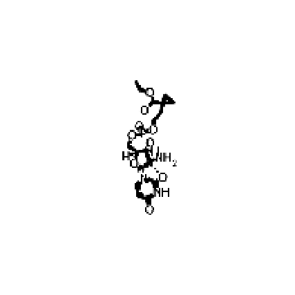 CCOC(=O)C1(CCO[P@]2(=O)OC[C@H]3O[C@@H](n4ccc(=O)[nH]c4=O)[C@](C)(N)[C@@H]3O2)CC1